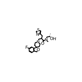 C[C@H](O)CN(C)C(=O)C(Cc1cscn1)CN1CCC2(CC1)OCc1ccc(F)cc12